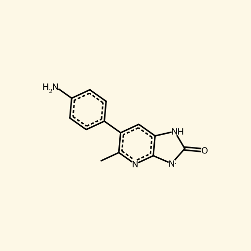 Cc1nc2c(cc1-c1ccc(N)cc1)NC(=O)[N]2